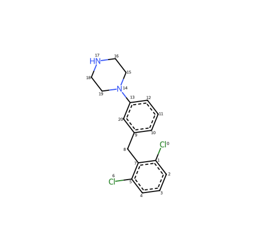 Clc1cccc(Cl)c1Cc1cccc(N2CCNCC2)c1